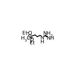 CCO[Si](C)(CCCNC(=N)N)OCC